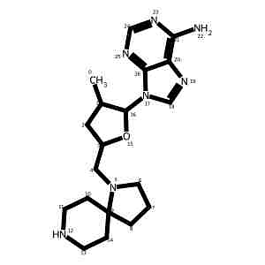 CC1CC(CN2CCCC23CCNCC3)OC1n1cnc2c(N)ncnc21